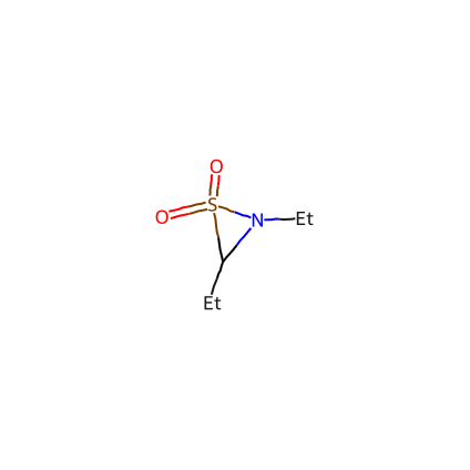 CCC1N(CC)S1(=O)=O